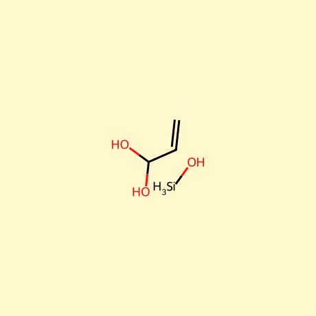 C=CC(O)O.O[SiH3]